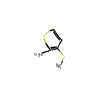 N#CSc1ccsc1[N+](=O)[O-]